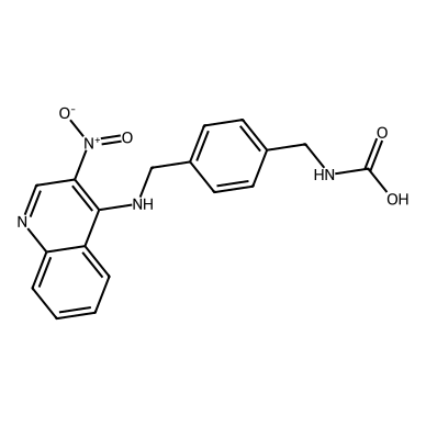 O=C(O)NCc1ccc(CNc2c([N+](=O)[O-])cnc3ccccc23)cc1